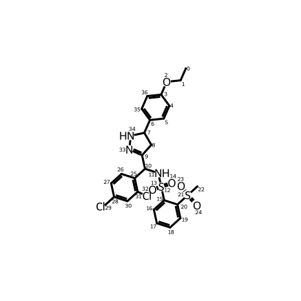 CCOc1ccc(C2CC(C(NS(=O)(=O)c3ccccc3S(C)(=O)=O)c3ccc(Cl)cc3Cl)=NN2)cc1